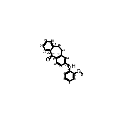 COc1ccccc1Nc1ccc2c(c1)CCc1ccccc1C2=O